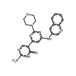 Nc1ncc(-c2cc(Nc3cnc4ccccc4c3)nc(N3CCOCC3)n2)c(=O)[nH]1